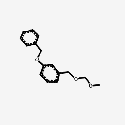 COCOCc1cccc(OCc2ccccc2)c1